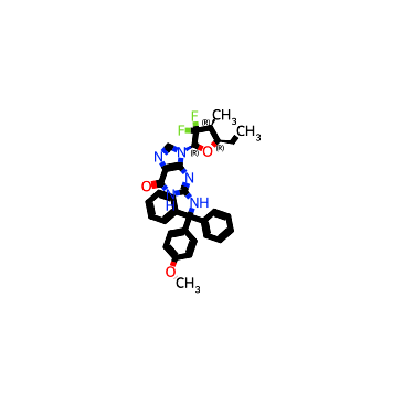 CC[C@H]1O[C@@H](n2cnc3c(=O)[nH]c(NC(c4ccccc4)(c4ccccc4)c4ccc(OC)cc4)nc32)C(F)(F)[C@@H]1C